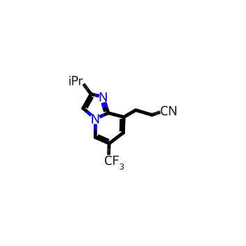 CC(C)c1cn2cc(C(F)(F)F)cc(CCC#N)c2n1